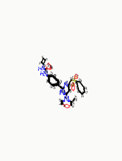 C[C@H]1COCCN1c1cc(CS(=O)(=O)C2CCCCC2)nc(-c2ccc(NC(=O)NC3CCC3)cc2)n1